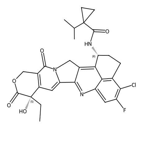 CC[C@@]1(O)C(=O)OCc2c1cc1n(c2=O)Cc2c-1nc1cc(F)c(Cl)c3c1c2[C@H](NC(=O)C1(C(C)C)CC1)CC3